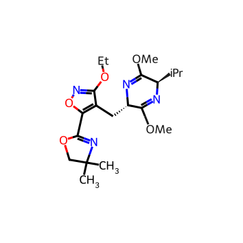 CCOc1noc(C2=NC(C)(C)CO2)c1C[C@@H]1N=C(OC)[C@@H](C(C)C)N=C1OC